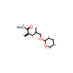 C=C(CC(C)COC1CCCCO1)C(=O)OC